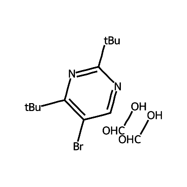 CC(C)(C)c1ncc(Br)c(C(C)(C)C)n1.O=CO.O=CO